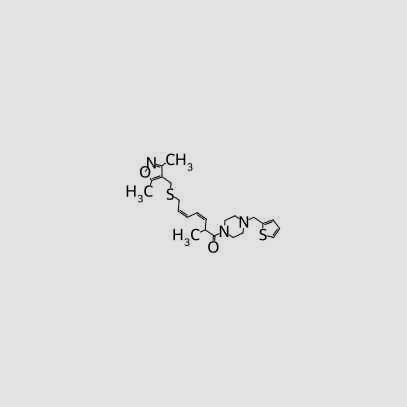 Cc1noc(C)c1CSC/C=C\C=C/C(C)C(=O)N1CCN(Cc2cccs2)CC1